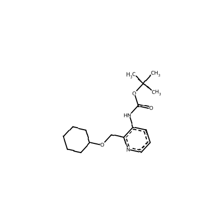 CC(C)(C)OC(=O)Nc1cccnc1COC1CCCCC1